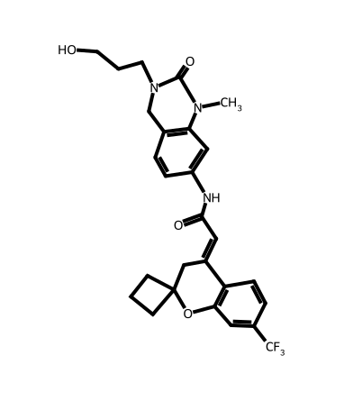 CN1C(=O)N(CCCO)Cc2ccc(NC(=O)/C=C3\CC4(CCC4)Oc4cc(C(F)(F)F)ccc43)cc21